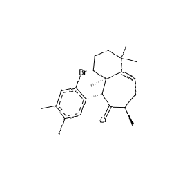 Cc1cc(Br)c([C@H]2C(=O)[C@H](C)CC=C3C(C)(C)CCC[C@@]32C)cc1C